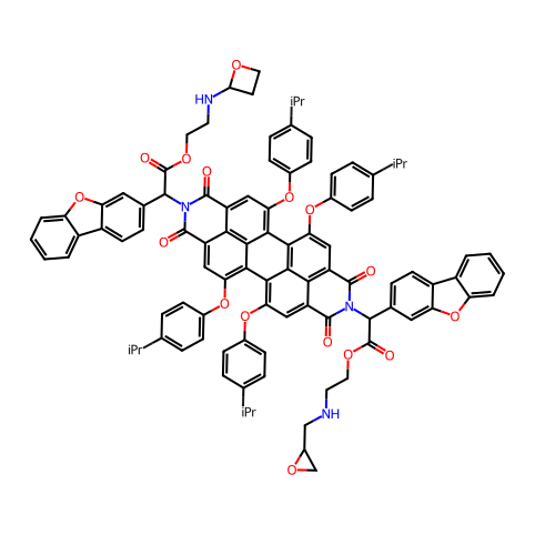 CC(C)c1ccc(Oc2cc3c4c(cc(Oc5ccc(C(C)C)cc5)c5c6c(Oc7ccc(C(C)C)cc7)cc7c8c(cc(Oc9ccc(C(C)C)cc9)c(c2c45)c86)C(=O)N(C(C(=O)OCCNC2CCO2)c2ccc4c(c2)oc2ccccc24)C7=O)C(=O)N(C(C(=O)OCCNCC2CO2)c2ccc4c(c2)oc2ccccc24)C3=O)cc1